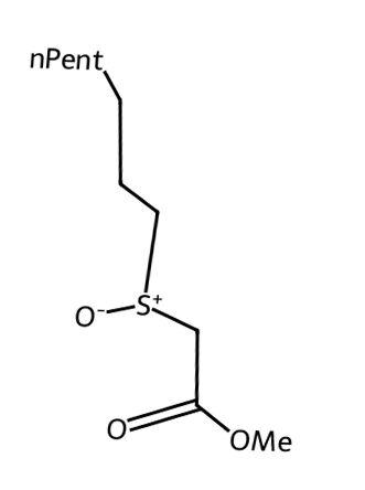 CCCCCCCC[S+]([O-])CC(=O)OC